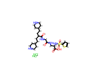 Cl.Cl.O=C(CNC(=O)C(CCC1CCNCC1)CCC1CCNCC1)NCC(NS(=O)(=O)c1cccs1)C(=O)O